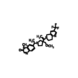 C=C(N1CCc2ncc(C(F)(F)F)cc2C1)C1(COC)CCN(C(C)c2ccc3ncc(=O)n(C)c3c2)C1